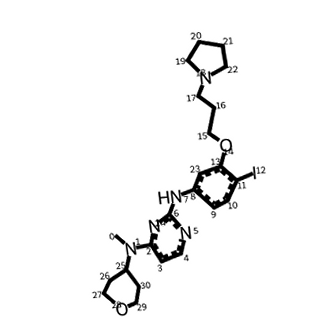 CN(c1ccnc(Nc2ccc(I)c(OCCCN3CCCC3)c2)n1)C1CCOCC1